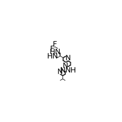 CC(C)c1cnnc(Nc2ccc3ncc(/C(C=N)=C/NCC(F)F)cc3n2)c1